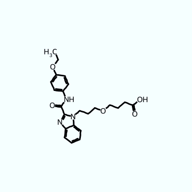 CCOc1ccc(NC(=O)c2nc3ccccc3n2CCCOCCCC(=O)O)cc1